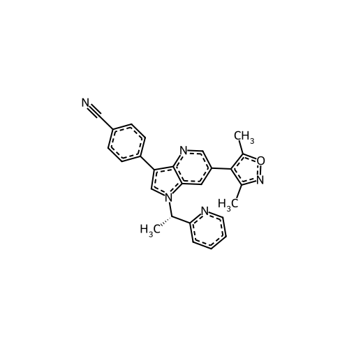 Cc1noc(C)c1-c1cnc2c(-c3ccc(C#N)cc3)cn([C@@H](C)c3ccccn3)c2c1